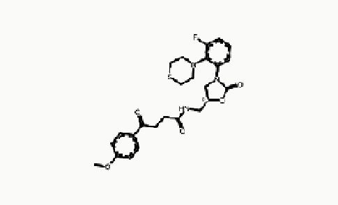 COc1ccc(C(=O)CCC(=O)NC[C@H]2CN(c3cccc(F)c3N3CCSCC3)C(=O)O2)cc1